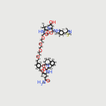 Cc1ncsc1-c1ccc(CNC(=O)[C@@H]2C[C@@H](O)CN2C(=O)[C@@H](NC(=O)COCCOCCOCCOCCc2ccc(CO[C@H](C)[C@H](CCC(N)=O)NC(=O)[C@@H]3Cc4cccc5c4N3C(=O)CCC5)cc2)C(C)(C)C)cc1